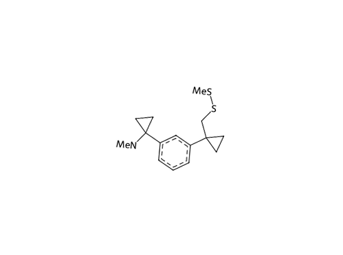 CNC1(c2cccc(C3(CSSC)CC3)c2)CC1